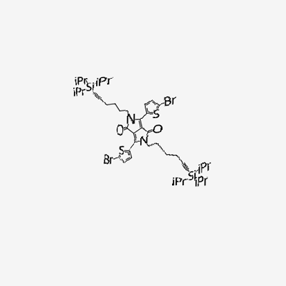 CC(C)[Si](C#CCCCCN1C(=O)C2=C(c3ccc(Br)s3)N(CCCCC#C[Si](C(C)C)(C(C)C)C(C)C)C(=O)C2=C1c1ccc(Br)s1)(C(C)C)C(C)C